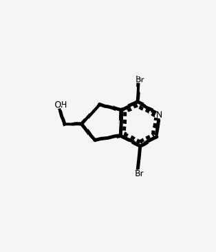 OCC1Cc2c(Br)cnc(Br)c2C1